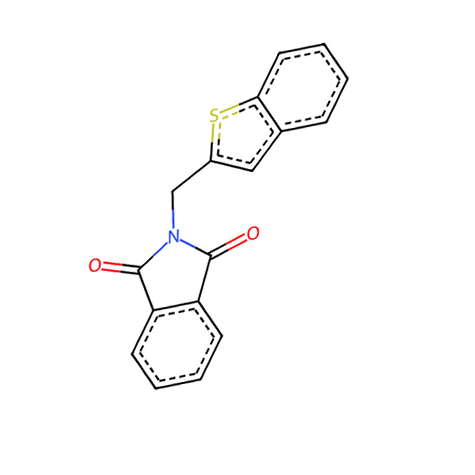 O=C1c2ccccc2C(=O)N1Cc1cc2ccccc2s1